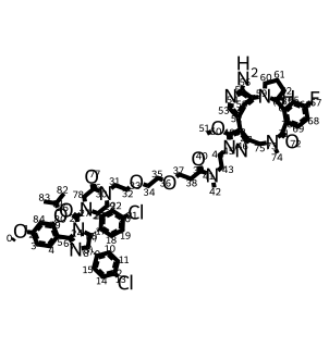 COc1ccc(C2=N[C@@H](c3ccc(Cl)cc3)[C@@H](c3ccc(Cl)cc3)N2C(=O)N2CCN(CCOCCOCCC(=O)N(C)CCn3nc4c(c3OC)-c3cnc(N)c(c3)N3CCC[C@@H]3c3cc(F)ccc3C(=O)N(C)C4)C(=O)C2)c(OC(C)C)c1